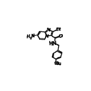 CCc1nc2cc(N)ccn2c1C(=O)NCc1ccc(C(C)(C)C)cc1